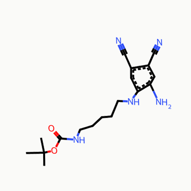 CC(C)(C)OC(=O)NCCCCCNc1cc(C#N)c(C#N)cc1N